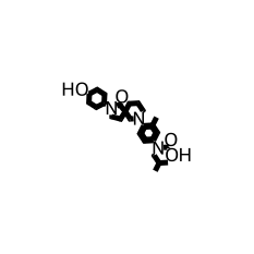 Cc1cc(N(CC(C)C)C(=O)O)ccc1N1CCCC2(CCN(C3CCC(O)CC3)C2=O)C1